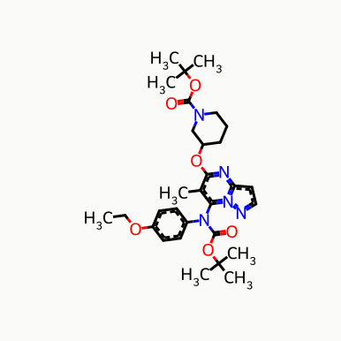 CCOc1ccc(N(C(=O)OC(C)(C)C)c2c(C)c(OC3CCCN(C(=O)OC(C)(C)C)C3)nc3ccnn23)cc1